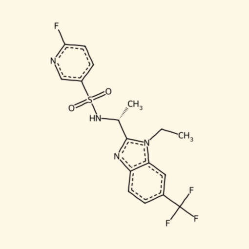 CCn1c([C@@H](C)NS(=O)(=O)c2ccc(F)nc2)nc2ccc(C(F)(F)F)cc21